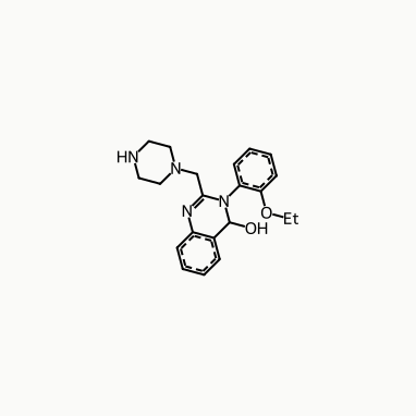 CCOc1ccccc1N1C(CN2CCNCC2)=Nc2ccccc2C1O